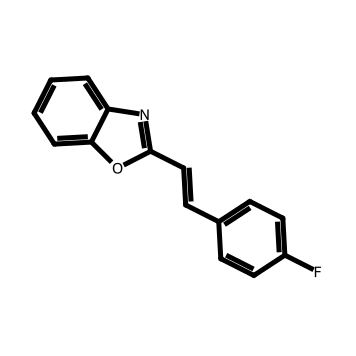 Fc1ccc(/C=C/c2nc3ccccc3o2)cc1